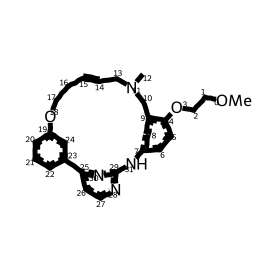 COCCOc1ccc2cc1CN(C)C/C=C/CCOc1cccc(c1)-c1ccnc(n1)N2